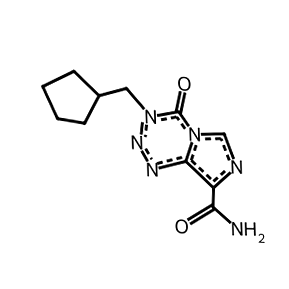 NC(=O)c1ncn2c(=O)n(CC3CCCC3)nnc12